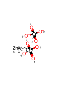 [Fe+2].[O]=[Cr](=[O])([O-])[O-].[O]=[Cr](=[O])([O-])[O-].[Zn+2]